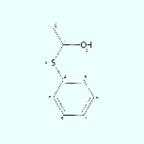 [CH2]C(O)Sc1ccccc1